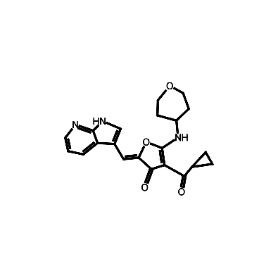 O=C1C(C(=O)C2CC2)=C(NC2CCOCC2)O/C1=C\c1c[nH]c2ncccc12